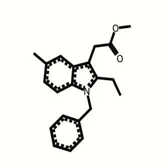 CCc1c(CC(=O)OC)c2cc(C)ccc2n1Cc1ccccc1